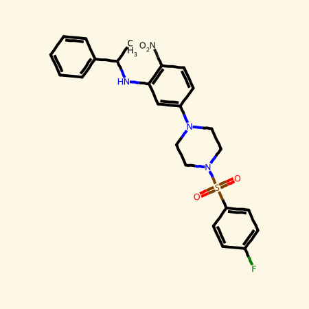 CC(Nc1cc(N2CCN(S(=O)(=O)c3ccc(F)cc3)CC2)ccc1[N+](=O)[O-])c1ccccc1